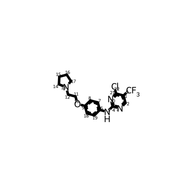 FC(F)(F)c1cnc(Nc2ccc(OCCN3CCCC3)cc2)nc1Cl